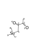 CC(=O)C(=O)C[Si](C)(C)C